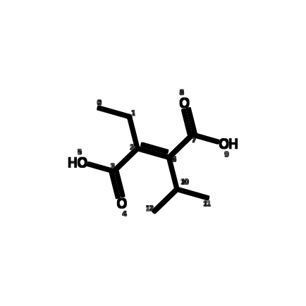 CC/C(C(=O)O)=C(\C(=O)O)C(C)C